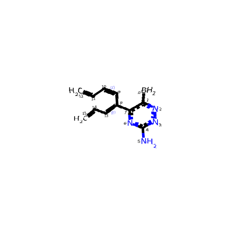 Bc1nnc(N)nc1C(/C=C\C=C)=C/C=C